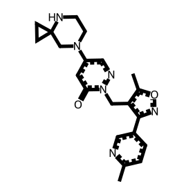 Cc1ccc(-c2noc(C)c2Cn2ncc(N3CCNC4(CC4)C3)cc2=O)cn1